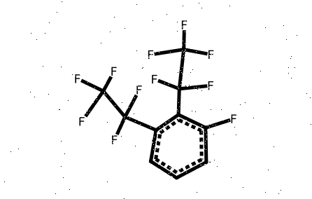 Fc1[c]ccc(C(F)(F)C(F)(F)F)c1C(F)(F)C(F)(F)F